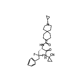 N#CC1(NC(=O)[C@H](CC(F)(F)Cc2ccccc2)NC(=O)N2CCC3(CC2)CCN(C2CC2)CC3)CC1